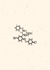 OCCN(Cc1ccccc1)CC(O)c1cc(Br)ccc1OCc1ccc(Cl)cc1